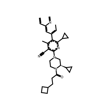 C=C/C(=C/C(=C\C)c1c(C2CC2)nc(N2CCN(C(=O)CCC3CCC3)[C@H](C3CC3)C2)c(C#N)c1C)N=C